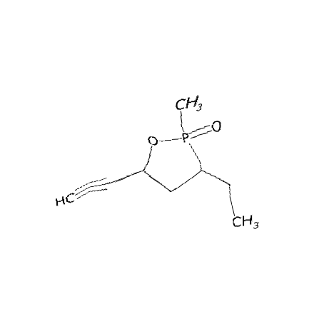 C#CC1CC(CC)P(C)(=O)O1